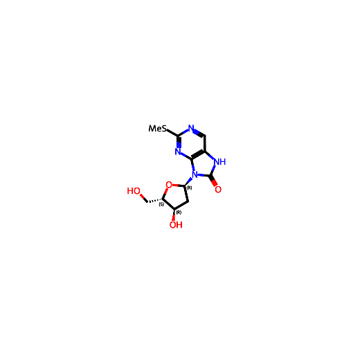 CSc1ncc2[nH]c(=O)n([C@H]3C[C@@H](O)[C@H](CO)O3)c2n1